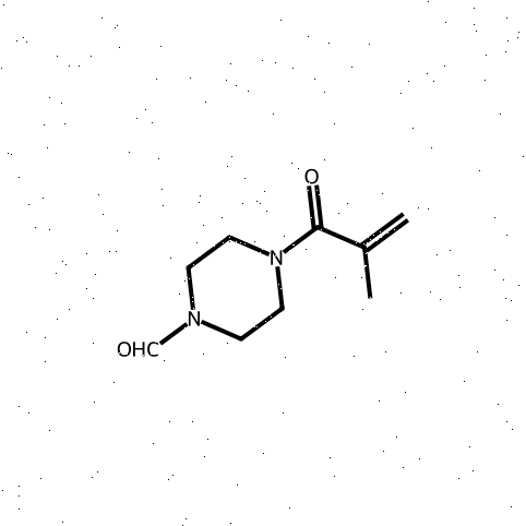 C=C(C)C(=O)N1CCN(C=O)CC1